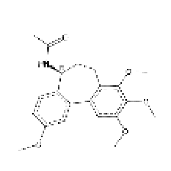 COc1ccc2c(c1)-c1cc(OC)c(OC)c(OC)c1CC[C@@H]2NC(C)=O